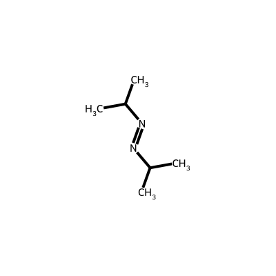 CC(C)N=NC(C)C